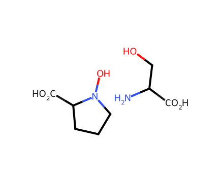 NC(CO)C(=O)O.O=C(O)C1CCCN1O